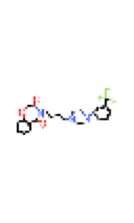 O=C1COc2ccccc2C(=O)N1CCCCN1CCN(c2cccc(C(F)(F)F)c2)CC1